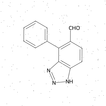 O=Cc1ccc2[nH]nnc2c1-c1ccccc1